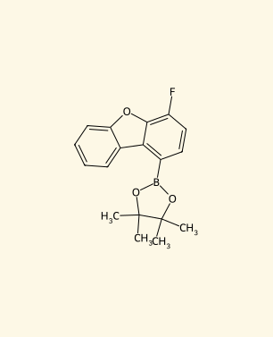 CC1(C)OB(c2ccc(F)c3oc4ccccc4c23)OC1(C)C